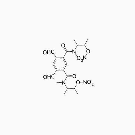 CC(O[N+](=O)[O-])C(C)N(C)C(=O)c1cc(C(=O)N(C)C(C)C(C)O[N+](=O)[O-])c(C=O)cc1C=O